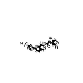 Cc1nnc(-c2ccc3cnc(NC(=O)CN4C[C@H]5C[C@@H]4CO5)cc3n2)s1